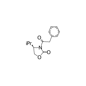 CC(C)[C@@H]1COC(=O)N1C(=O)Cc1ccccc1